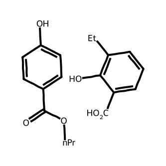 CCCOC(=O)c1ccc(O)cc1.CCc1cccc(C(=O)O)c1O